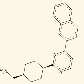 NC[C@H]1CC[C@@H](c2nccc(-c3ccc4ccccc4c3)n2)CC1